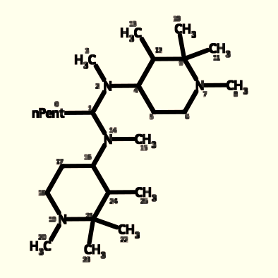 CCCCCC(N(C)C1CCN(C)C(C)(C)C1C)N(C)C1CCN(C)C(C)(C)C1C